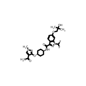 Cn1cc(C(N)=O)c(O[C@H]2CC[C@H](NC(=O)c3nn(C(F)F)c4cc(OCC(C)(C)O)ccc34)CC2)n1